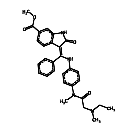 CCN(C)CC(=O)N(C)c1ccc(N/C(=C2\C(=O)Nc3cc(C(=O)OC)ccc32)c2ccccc2)cc1